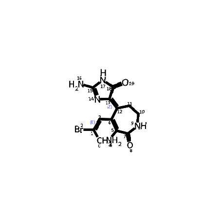 C/C(Br)=C\C1=C(N)C(=O)NCC/C1=C1/N=C(N)NC1=O